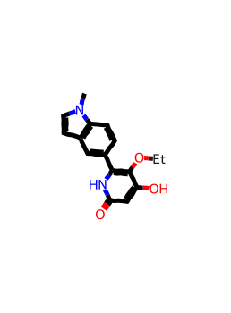 CCOc1c(O)cc(=O)[nH]c1-c1ccc2c(ccn2C)c1